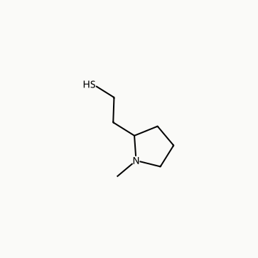 CN1CCCC1CCS